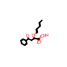 CCCCCOC(CC(=O)c1ccccc1)C(=O)O